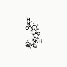 NC(=O)C1CCCN(C(=O)CC2CN[C@H](C(=O)N3CCSC3)C2)C1